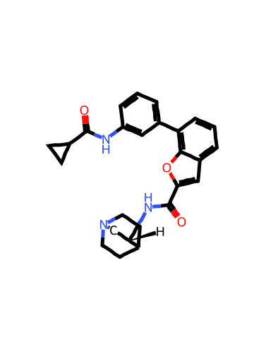 O=C(N[C@H]1CN2CCC1CC2)c1cc2cccc(-c3cccc(NC(=O)C4CC4)c3)c2o1